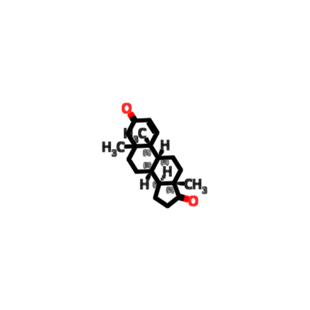 CC12CC[C@@H]3[C@@H](CC[C@]4(C)C(=O)CC[C@@H]34)[C@@]1(C)C=CC(=O)C2